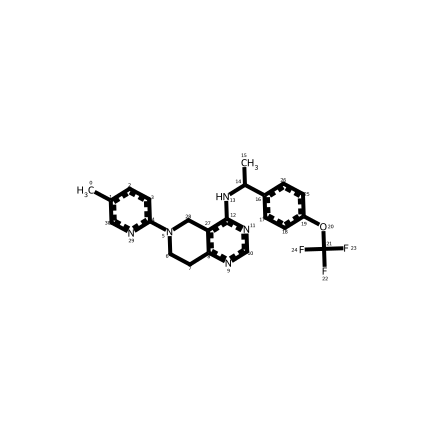 Cc1ccc(N2CCc3ncnc(NC(C)c4ccc(OC(F)(F)F)cc4)c3C2)nc1